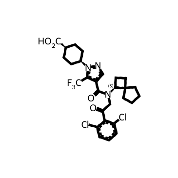 O=C(CN(C(=O)c1cnn([C@H]2CC[C@@H](C(=O)O)CC2)c1C(F)(F)F)[C@H]1CCC12CCCC2)c1c(Cl)cccc1Cl